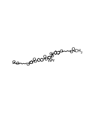 C=CC(=O)OCCCCCCOc1ccc2cc(C(=O)Oc3ccc(OC(=O)C4CCC5CC(OC(=O)c6ccc(OCCCCCCOCC7CO7)cc6)CCC5C4)c(CCC)c3)ccc2c1